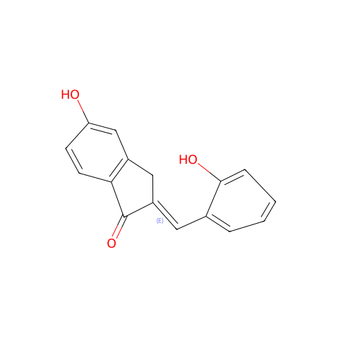 O=C1/C(=C/c2ccccc2O)Cc2cc(O)ccc21